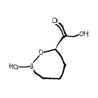 O=C(O)[C@H]1CCCB(O)O1